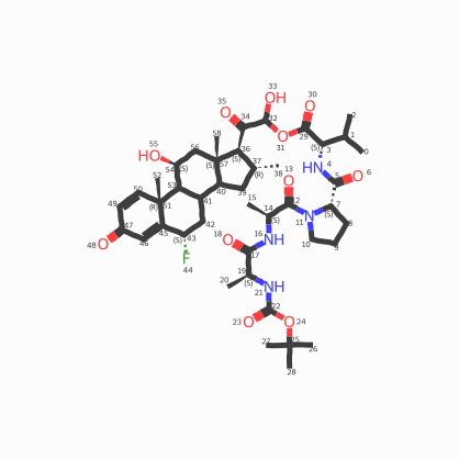 CC(C)[C@H](NC(=O)[C@@H]1CCCN1C(=O)[C@H](C)NC(=O)[C@H](C)NC(=O)OC(C)(C)C)C(=O)OC(O)C(=O)[C@H]1[C@H](C)CC2C3C[C@H](F)C4=CC(=O)C=C[C@]4(C)C3[C@@H](O)C[C@@]21C